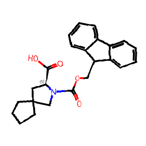 O=C(O)[C@@H]1CC2(CCCC2)CN1C(=O)OCC1c2ccccc2-c2ccccc21